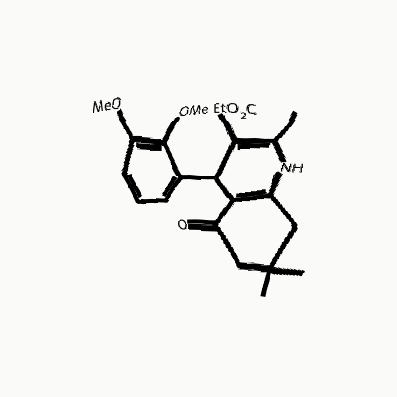 CCOC(=O)C1=C(C)NC2=C(C(=O)CC(C)(C)C2)C1c1cccc(OC)c1OC